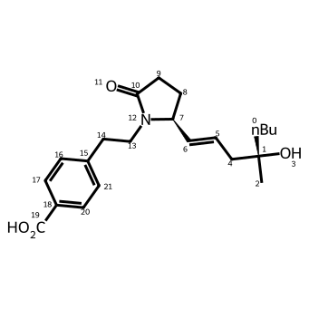 CCCC[C@](C)(O)CC=C[C@@H]1CCC(=O)N1CCc1ccc(C(=O)O)cc1